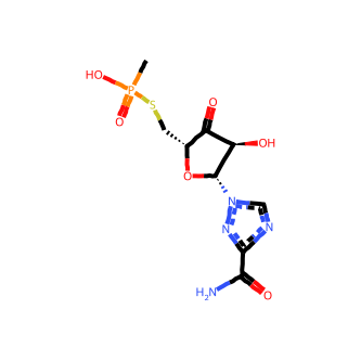 CP(=O)(O)SC[C@H]1O[C@@H](n2cnc(C(N)=O)n2)[C@H](O)C1=O